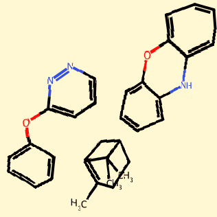 CC1=C2CC(CC1)C2(C)C.c1ccc(Oc2cccnn2)cc1.c1ccc2c(c1)Nc1ccccc1O2